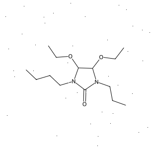 CCCCN1C(=O)N(CCC)C(OCC)C1OCC